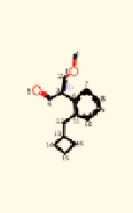 CO/C=C(/C=O)c1ccccc1CC1CCC1